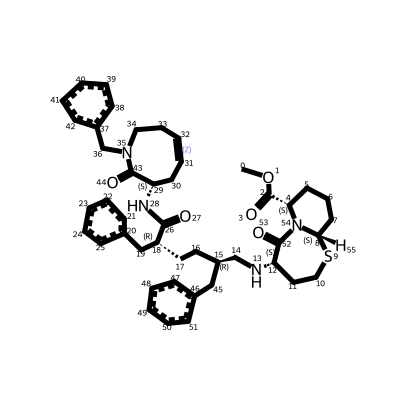 COC(=O)[C@@H]1CCC[C@@H]2SCC[C@H](NC[C@H](CC[C@H](Cc3ccccc3)C(=O)N[C@H]3C/C=C\CCN(Cc4ccccc4)C3=O)Cc3ccccc3)C(=O)N21